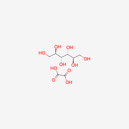 O=C(O)C(=O)O.OC[C@@H](O)[C@@H](O)[C@H](O)[C@H](O)CO